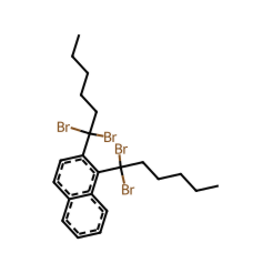 CCCCCC(Br)(Br)c1ccc2ccccc2c1C(Br)(Br)CCCCC